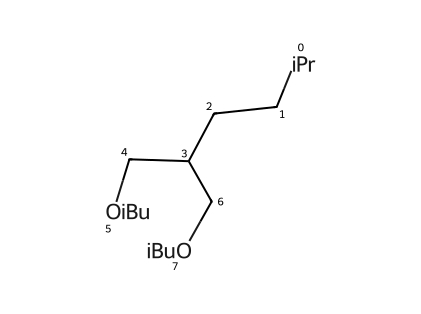 CC(C)CCC(COCC(C)C)COCC(C)C